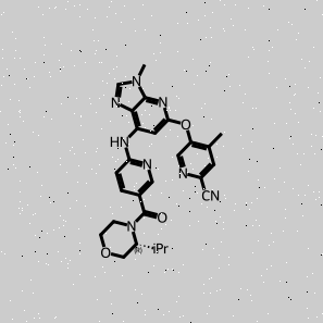 Cc1cc(C#N)ncc1Oc1cc(Nc2ccc(C(=O)N3CCOC[C@H]3C(C)C)cn2)c2ncn(C)c2n1